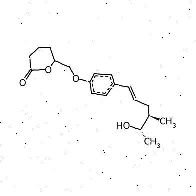 C[C@H](O)[C@H](C)C/C=C/c1ccc(OCC2CCCC(=O)O2)cc1